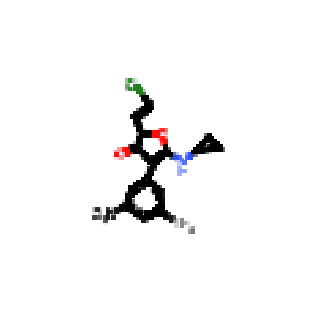 O=C1C(c2cc([N+](=O)[O-])cc(C(F)(F)F)c2)=C(NC2CC2)OC1C=CCl